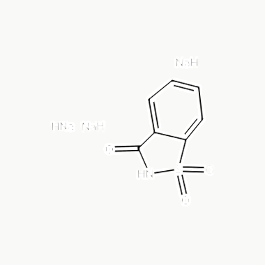 O=C1NS(=O)(=O)c2ccccc21.[NaH].[NaH].[NaH]